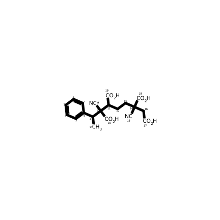 CC(c1ccccc1)C(C#N)(C(=O)O)C(CCC(C#N)(CC(=O)O)C(=O)O)C(=O)O